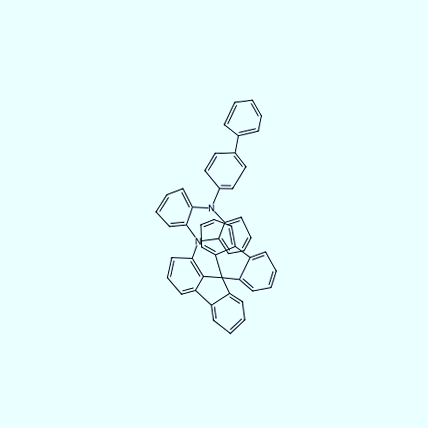 c1ccc(-c2ccc(N3c4ccccc4N(c4cccc5c4C4(c6ccccc6-c6ccccc64)c4ccccc4-5)c4ccccc43)cc2)cc1